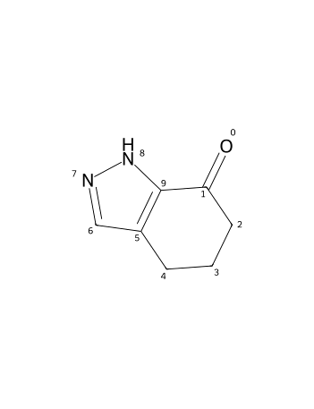 O=C1CCCc2cn[nH]c21